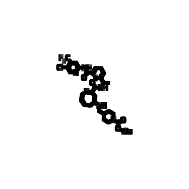 CC(NC(=O)C1=N/C=C=CC/C(NCC2CCN(C(=O)OC(C)(C)C)CC2)=C\1)C1=CCC=C(C(=O)Nc2cc(C(F)(F)F)c(Cl)cn2)S1